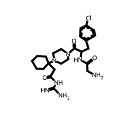 N=C(N)NC(=O)CC1(N2CCN(C(=O)C(Cc3ccc(Cl)cc3)NC(=O)CN)CC2)CCCCC1